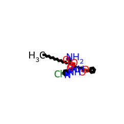 CCCCCCCCCCCCC[C@@H](CC(N)=O)OC(=O)[C@H](CCCC(=O)OCc1ccccc1)NC(=O)Nc1ccc(Cl)cn1